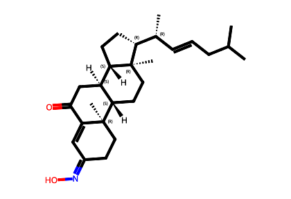 CC(C)CC=C[C@@H](C)[C@H]1CC[C@H]2[C@@H]3CC(=O)C4=CC(=NO)CC[C@]4(C)[C@H]3CC[C@]12C